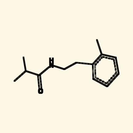 Cc1ccccc1CCNC(=O)C(C)C